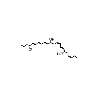 CC/C=C\C[C@@H](O)/C=C/C=C\CC(O)/C=C/C=C/C=C[C@@H](O)CCC